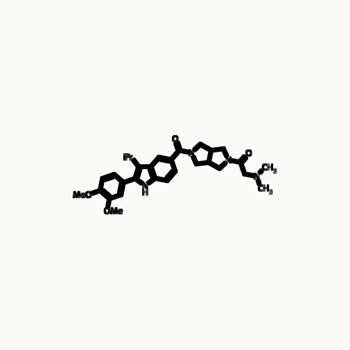 COc1ccc(-c2[nH]c3ccc(C(=O)N4CC5CN(C(=O)CN(C)C)CC5C4)cc3c2C(C)C)cc1OC